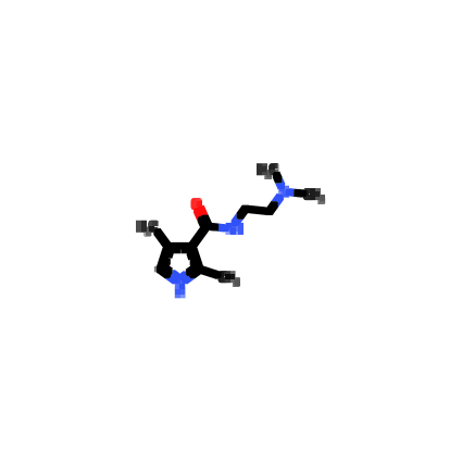 Cc1[c][nH]c(C)c1C(=O)NCCN(C)C